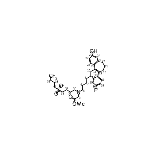 COC(=O)CN(CCCCCCC1=C(c2ccc(F)cc2)CCCc2cc(O)ccc21)CCCCS(=O)(=O)CCCC(F)(F)F